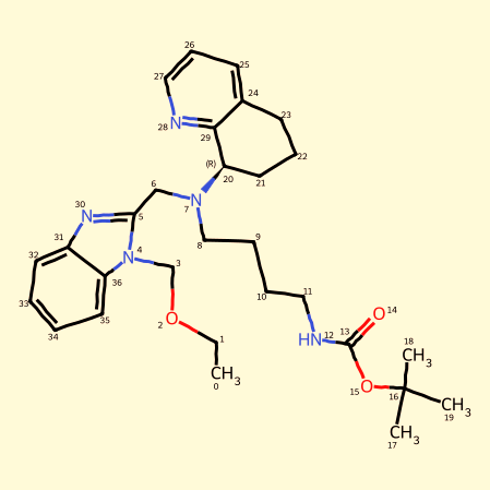 CCOCn1c(CN(CCCCNC(=O)OC(C)(C)C)[C@@H]2CCCc3cccnc32)nc2ccccc21